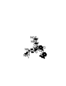 Cc1cc(C)c2cccc(OCc3c(Cl)ccc(S(=O)(=O)NC(C)(C)C(=O)N4CCN(C(=N)NCCCN)CC4)c3Cl)c2n1.O=C(O)C(F)(F)F.O=C(O)C(F)(F)F